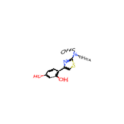 CCCCCCN(C=O)c1nc(-c2ccc(O)cc2O)cs1